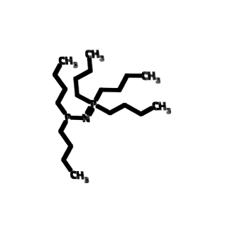 CCCCP(CCCC)N=P(CCCC)(CCCC)CCCC